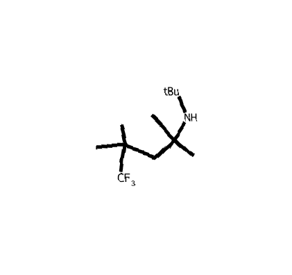 CC(C)(C)NC(C)(C)CC(C)(C)C(F)(F)F